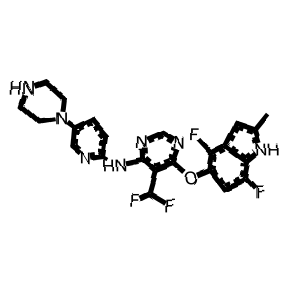 Cc1cc2c(F)c(Oc3ncnc(Nc4ccc(N5CCNCC5)cn4)c3C(F)F)cc(F)c2[nH]1